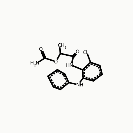 CC(OC(N)=O)C(=O)Nc1c(Cl)cccc1Nc1ccccc1